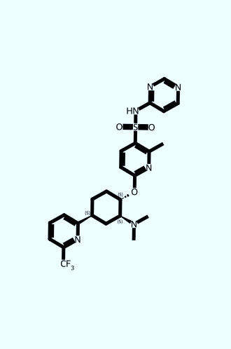 Cc1nc(O[C@H]2CC[C@H](c3cccc(C(F)(F)F)n3)C[C@@H]2N(C)C)ccc1S(=O)(=O)Nc1ccncn1